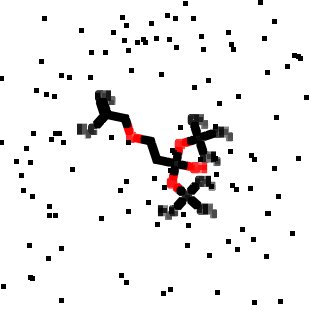 C=C(C)COCC[Si](O)(O[Si](C)(C)C)O[Si](C)(C)C